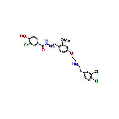 COc1cc(OCCNCCc2ccc(Cl)c(Cl)c2)ccc1/C=N/NC(=O)c1ccc(O)c(Cl)c1